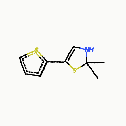 CC1(C)NC=C(c2cccs2)S1